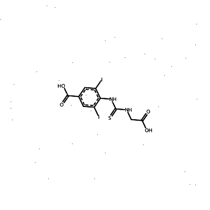 O=C(O)CNC(=S)Nc1c(I)cc(C(=O)O)cc1I